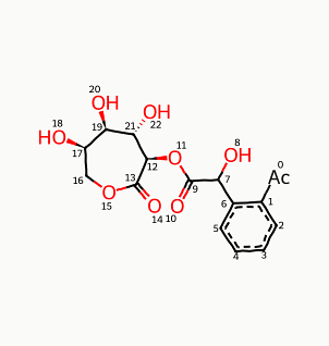 CC(=O)c1ccccc1C(O)C(=O)O[C@H]1C(=O)OC[C@@H](O)[C@@H](O)[C@@H]1O